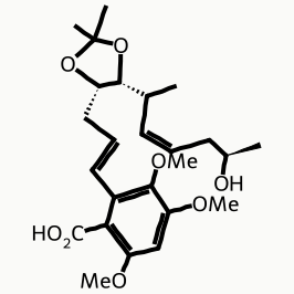 COc1cc(OC)c(C(=O)O)c(/C=C/C[C@@H]2OC(C)(C)O[C@@H]2C(C)/C=C\C[C@@H](C)O)c1OC